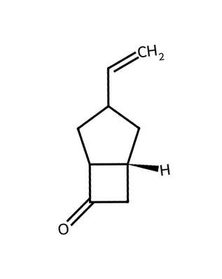 C=CC1CC2C(=O)C[C@H]2C1